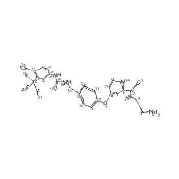 NCCNC(=O)c1cc(Oc2ccc(CNC(=O)Nc3ccc(Cl)c(C(F)(F)F)c3)cc2)ccn1